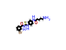 NCCCCC(=O)Nc1ccc(NC(=S)NC(=O)c2cccc(Br)c2)cc1